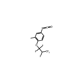 Cc1cc(N=C=O)ccc1OC(F)(F)C(F)C(F)(F)F